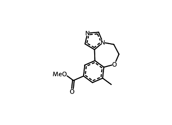 COC(=O)c1cc(C)c2c(c1)-c1cncn1CCO2